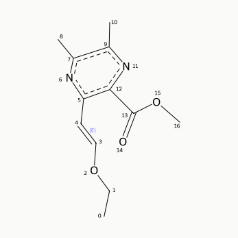 CCO/C=C/c1nc(C)c(C)nc1C(=O)OC